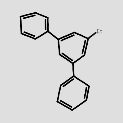 [CH2]Cc1cc(-c2ccccc2)cc(-c2ccccc2)c1